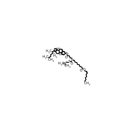 CCCCCC/C=C\COC(=O)CCCCCCCN(CCCC(=O)O[C@H]1CC[C@@]2(C)C(=CC[C@H]3[C@H]4CC[C@H]([C@H](C)CCCC(C)C)[C@@]4(C)CC[C@H]32)C1)C(=O)SCCN(C)C